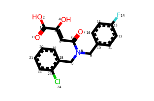 O=C(O)C(O)=CC(=O)N(Cc1ccc(F)cc1)Cc1ccccc1Cl